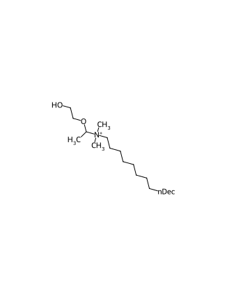 CCCCCCCCCCCCCCCCCC[N+](C)(C)C(C)OCCO